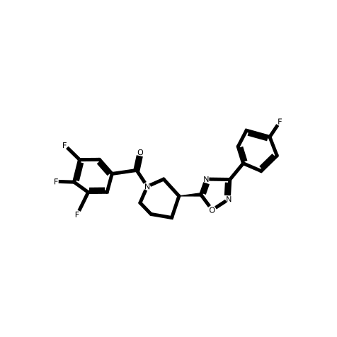 O=C(c1cc(F)c(F)c(F)c1)N1CCC[C@H](c2nc(-c3ccc(F)cc3)no2)C1